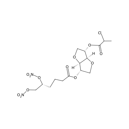 CC(Cl)C(=O)O[C@H]1CO[C@H]2[C@@H]1OC[C@@H]2OC(=O)CCC[C@H](CO[N+](=O)[O-])O[N+](=O)[O-]